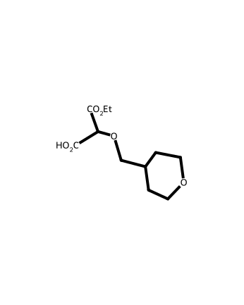 CCOC(=O)C(OCC1CCOCC1)C(=O)O